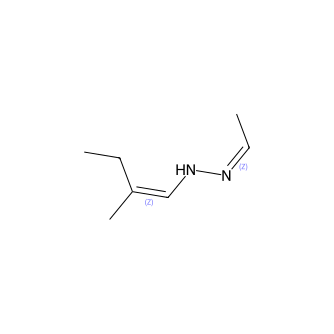 C/C=N\N/C=C(/C)CC